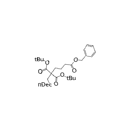 CCCCCCCCCCCC(CCCC(=O)OCc1ccccc1)(C(=O)OC(C)(C)C)C(=O)OC(C)(C)C